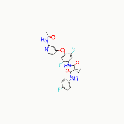 CC(=O)Nc1cc(Oc2cc(F)c(NC(=O)C3(C(=O)Nc4ccc(F)cc4)CC3)cc2F)ccn1